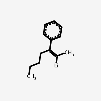 [Li][C](C)=C(CCCC)c1ccccc1